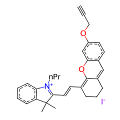 C#CCOc1ccc2c(c1)OC1=C(C=CC3=[N+](CCC)c4ccccc4C3(C)C)CCCC1=C2.[I-]